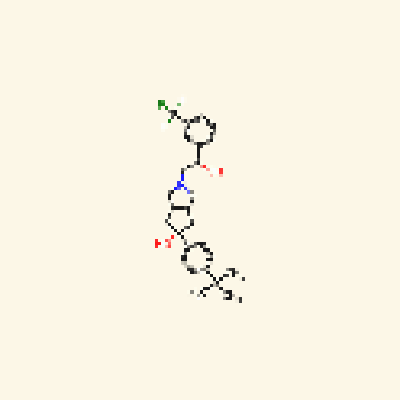 CC(C)(C)c1ccc(C2(O)CC3CN(CC(O)c4cccc(C(F)(F)F)c4)CC3C2)cc1